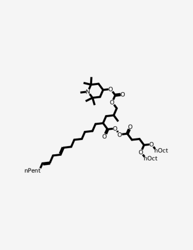 CCCCCC=CCC=CCCCCCCC(CC(C)COC(=O)OC1CC(C)(C)N(C)C(C)(C)C1)C(=O)OOC(=O)CCC(OCCCCCCCC)OCCCCCCCC